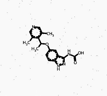 Cc1cncc(C)c1C(C)Oc1ccc2[nH]nc(NC(=O)O)c2c1